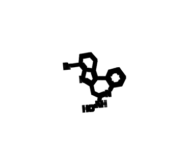 ONC1=Nc2ccccc2C2=C3CC=CC(Br)=C3N=C2C1